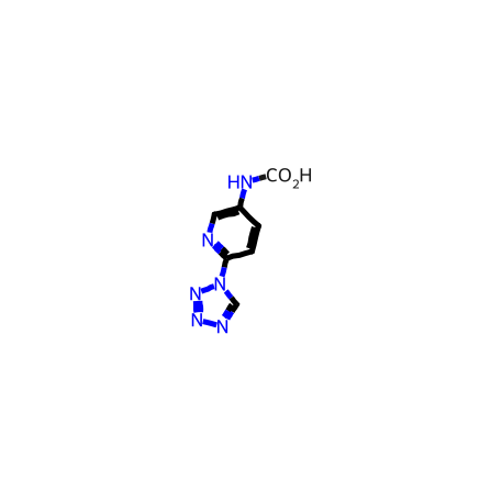 O=C(O)Nc1ccc(-n2cnnn2)nc1